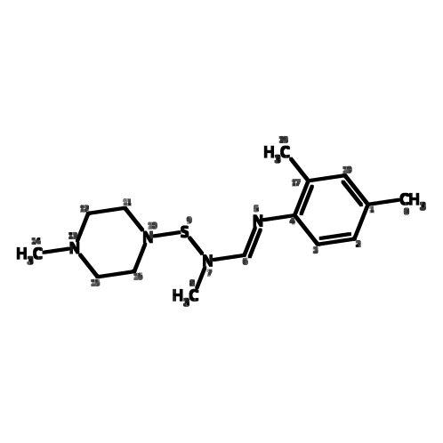 Cc1ccc(N=CN(C)SN2CCN(C)CC2)c(C)c1